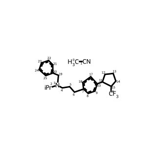 CC#N.CC(C)N(CCCc1ccc(C2CCCC2C(F)(F)F)cc1)Cc1ccccc1